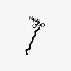 CCCCCCCCCS(=O)(=O)N=[N+]=[N-]